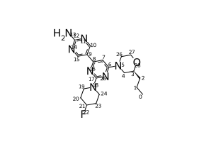 CCC[C@H]1CN(c2cc(-c3cnc(N)nc3)nc(N3CCC(F)CC3)n2)CCO1